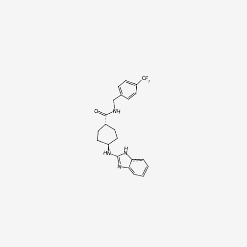 O=C(NCc1ccc(C(F)(F)F)cc1)[C@H]1CC[C@H](Nc2nc3ccccc3[nH]2)CC1